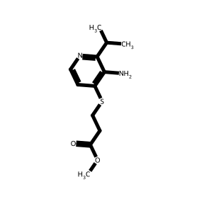 COC(=O)CCSc1ccnc(C(C)C)c1N